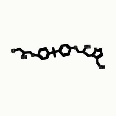 CC(C)(c1ccc(OCC(O)CCl)cc1)c1ccc(OCC(O)Cn2nncc2CO)cc1